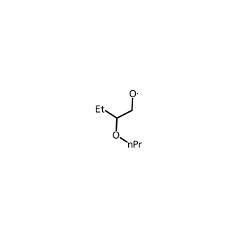 CCCOC(CC)C[O]